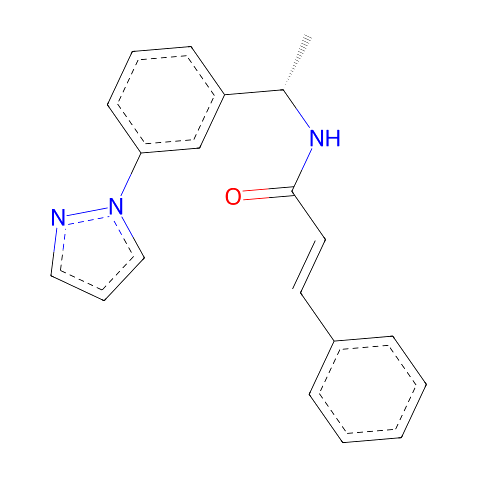 C[C@H](NC(=O)C=Cc1ccccc1)c1cccc(-n2cccn2)c1